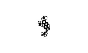 COC(=O)C[C@H](C)[C@H]1CC[C@H]2[C@@H]3CC=C4C[C@@H](OC(C)=O)C[C@H](OC(C)=O)[C@]4(C)[C@H]3CC[C@]12C